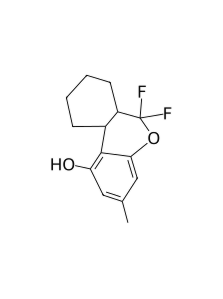 Cc1cc(O)c2c(c1)OC(F)(F)C1CCCCC21